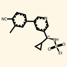 CCS(=O)(=O)N[C@H](c1cncc(-c2ccc(C#N)c(C)c2)c1)C1CC1